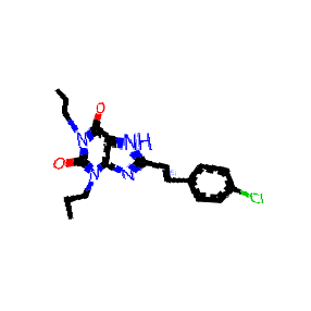 CCCn1c(=O)c2[nH]c(/C=C/c3ccc(Cl)cc3)nc2n(CCC)c1=O